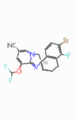 N#CC1=CN2C[C@@]3(CCCc4c3ccc(Br)c4F)N=C2C(OC(F)F)=C1